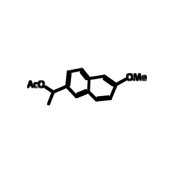 COc1ccc2cc(C(C)OC(C)=O)ccc2c1